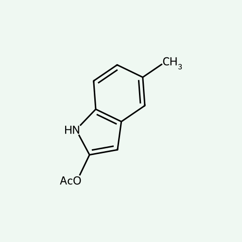 CC(=O)Oc1cc2cc(C)ccc2[nH]1